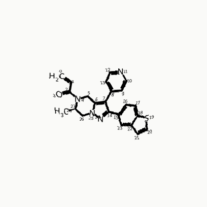 C=CC(=O)N1Cc2c(-c3ccncc3)c(-c3ccc4sccc4c3)nn2C[C@H]1C